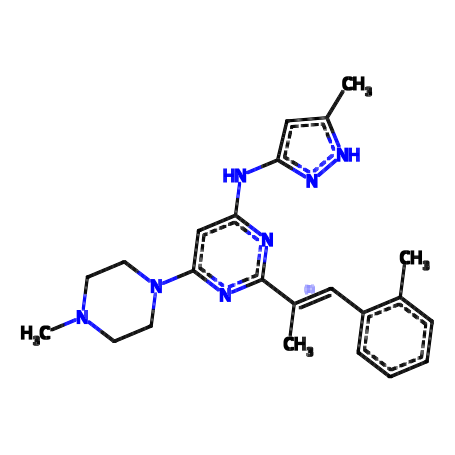 C/C(=C\c1ccccc1C)c1nc(Nc2cc(C)[nH]n2)cc(N2CCN(C)CC2)n1